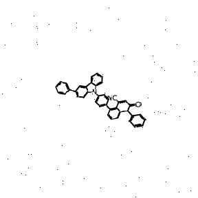 N#CC1=CC(=O)C(c2ccccc2)c2cccc(-c3ccc(-n4c5ccccc5c5cc(-c6ccccc6)ccc54)cc3)c21